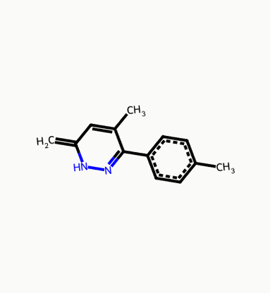 C=C1C=C(C)C(c2ccc(C)cc2)=NN1